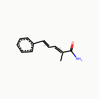 C/C(=C\C=C\c1ccccc1)C(N)=O